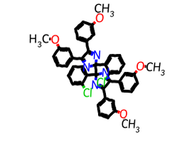 COc1cccc(C2=NC(c3ccccc3Cl)(C3(c4ccccc4Cl)N=C(c4cccc(OC)c4)C(c4cccc(OC)c4)=N3)N=C2c2cccc(OC)c2)c1